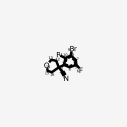 N#CC1(c2cc(F)cc(Br)c2F)CCOCC1